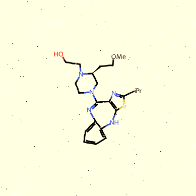 COCC[C@H]1CN(C2=Nc3ccccc3Nc3sc(C(C)C)nc32)CCN1CCO